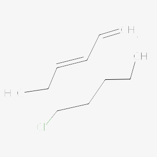 C=C/C=C/CC.CCCCCCl